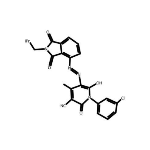 Cc1c(N=Nc2cccc3c2C(=O)N(CC(C)C)C3=O)c(O)n(-c2cccc(Cl)c2)c(=O)c1C#N